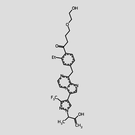 C=C(O)C(C)n1cc(-c2cnc3c(Cc4ccc(C(=O)CCCOCCO)c(CC)c4)nccn23)c(C(F)(F)F)n1